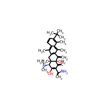 C=C(N)C1=C(O)[C@@H](N(C)C)[C@]2(C)Cc3c(c(C)c4c(C)c(C(C)(C)C)ccc4c3C)C(=C)[C@]2(O)C1=C